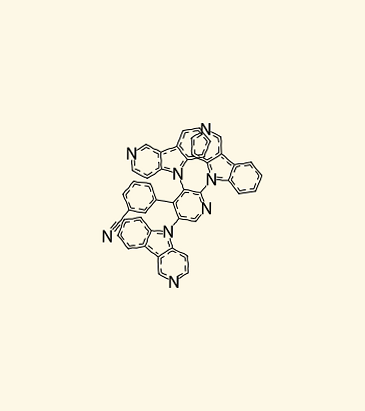 N#Cc1cccc(-c2c(-n3c4ccccc4c4cnccc43)cnc(-n3c4ccccc4c4cnccc43)c2-n2c3ccccc3c3cnccc32)c1